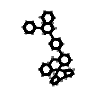 c1ccc(-c2nc(-c3ccc(-c4cccc5c4Oc4ccccc4C54c5ccccc5-c5ccccc54)cc3)nc3ccccc23)cc1